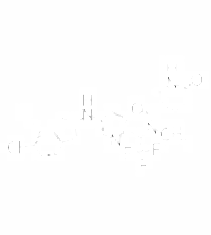 CN(C(=O)[C@H]1CCC(=O)NC1)[C@@H](c1ccc(NC2Cc3ccc(Cl)c(C4CC4)c3C2)cn1)C(F)(F)F